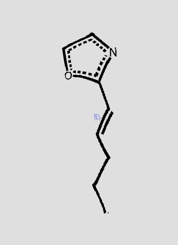 [CH2]CC/C=C/c1ncco1